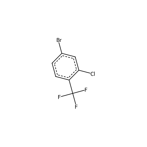 FC(F)(F)c1ccc(Br)cc1Cl